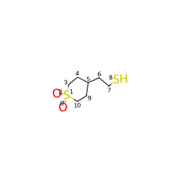 O=S1(=O)CCC(CCS)CC1